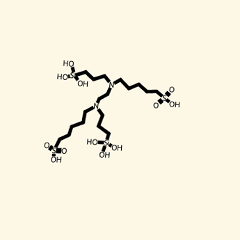 O=S(=O)(O)CCCCCN(CCC[Si](O)(O)O)CCN(CCCCCS(=O)(=O)O)CCC[Si](O)(O)O